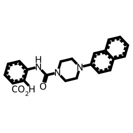 O=C(O)c1ccccc1NC(=O)N1CCN(c2ccc3ccccc3c2)CC1